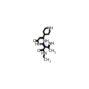 CCNC(=O)/C(C(C)=N)=C1\NC(=O)C=C(C2CCNCC2)N1